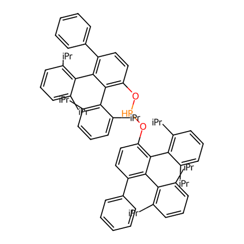 CC(C)c1cccc(C(C)C)c1-c1c(OPOc2ccc(-c3ccccc3)c(-c3c(C(C)C)cccc3C(C)C)c2-c2c(C(C)C)cccc2C(C)C)ccc(-c2ccccc2)c1-c1c(C(C)C)cccc1C(C)C